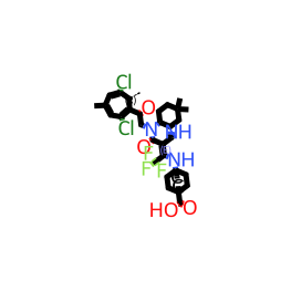 CC1=CC(Cl)=C(C(=O)CN(C(=O)/C(C=N)=C(/NC23CCC(C(=O)O)(CC2)CC3)C(F)(F)F)C2CCC(C)(C)CC2)[C@@H](C)C(Cl)=C1